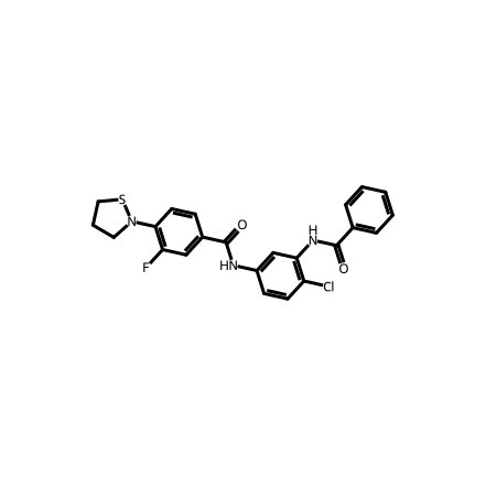 O=C(Nc1ccc(Cl)c(NC(=O)c2ccccc2)c1)c1ccc(N2CCCS2)c(F)c1